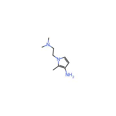 Cc1c(N)ccn1CCN(C)C